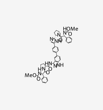 COC(=O)N[C@@H](C(=O)N1CCC[C@H]1C(=O)Nc1n[nH]c2ccc(-c3ccc(-c4cnc([C@@H]5CCCN5C(=O)[C@H](NC(=O)OC)c5ccccc5)[nH]4)cc3)cc12)c1ccccc1